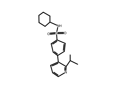 CC(C)c1ncccc1-c1ccc(S(=O)(=O)NC2CCCCC2)cc1